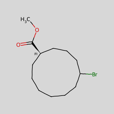 COC(=O)[C@@H]1CCCCCCC(Br)CCC1